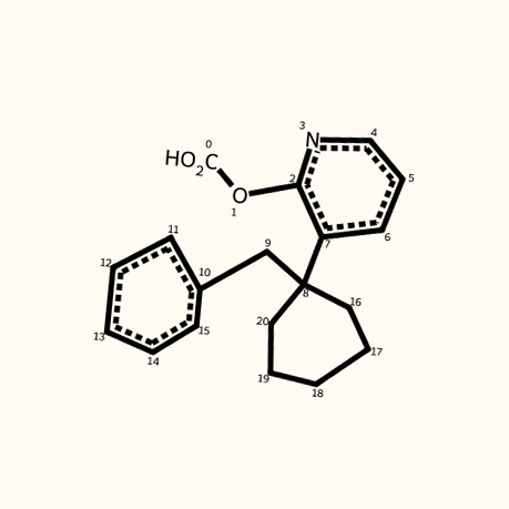 O=C(O)Oc1ncccc1C1(Cc2ccccc2)CCCCC1